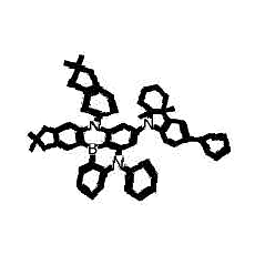 CC1(C)Cc2ccc(N3c4cc5c(cc4B4c6ccccc6N(c6ccccc6)c6cc(N7c8ccc(-c9ccccc9)cc8C8(C)CCCCC78C)cc3c64)CC(C)(C)C5)cc2C1